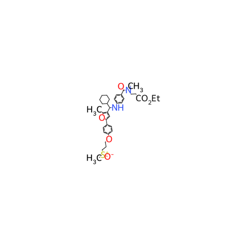 CCOC(=O)CCN(C)C(=O)c1ccc(NC(c2cc(-c3ccc(OCCC[S+](C)[O-])cc3)oc2C)C2CCCCC2)cc1